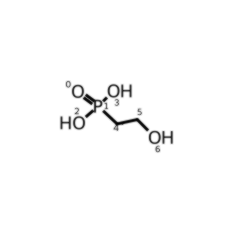 O=P(O)(O)[CH]CO